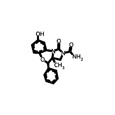 CC12CN(C(N)=O)C(=O)N1c1cc(O)ccc1OC2c1ccccc1